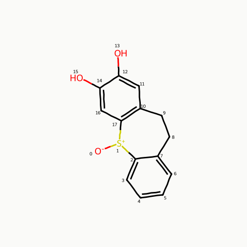 [O-][S+]1c2ccccc2CCc2cc(O)c(O)cc21